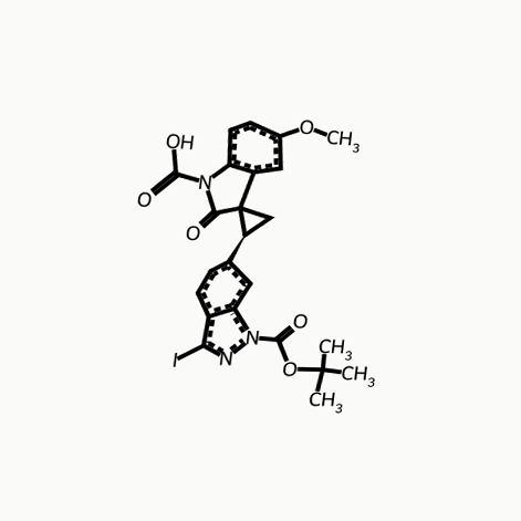 COc1ccc2c(c1)C1(C[C@H]1c1ccc3c(I)nn(C(=O)OC(C)(C)C)c3c1)C(=O)N2C(=O)O